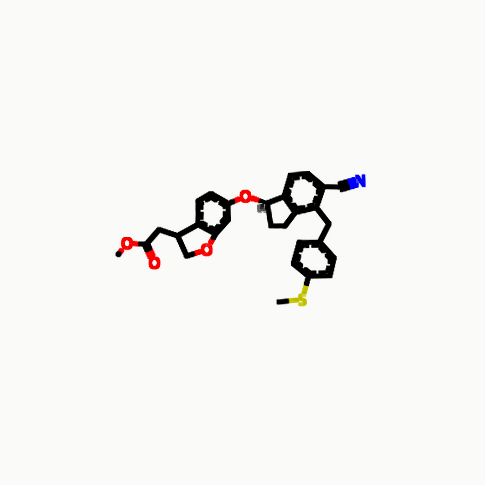 COC(=O)CC1COc2cc(O[C@@H]3CCc4c3ccc(C#N)c4Cc3ccc(SC)cc3)ccc21